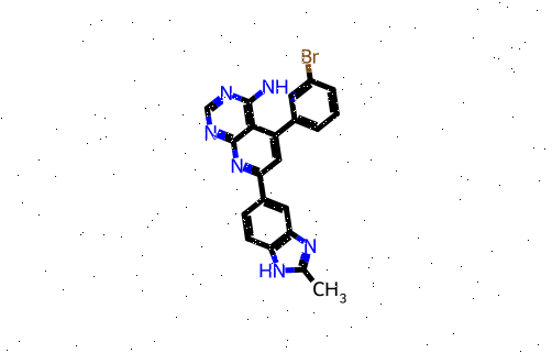 Cc1nc2cc(-c3cc(-c4cccc(Br)c4)c4c(N)ncnc4n3)ccc2[nH]1